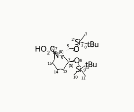 CC(C)(C)[Si](C)(C)OC[C@@H]1[C@@H](O[Si](C)(C)C(C)(C)C)CCCN1C(=O)O